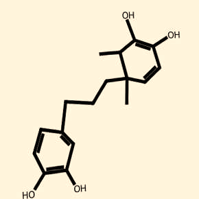 CC1C(O)=C(O)C=CC1(C)CCCc1ccc(O)c(O)c1